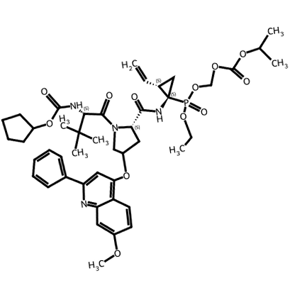 C=C[C@@H]1C[C@]1(NC(=O)[C@@H]1CC(Oc2cc(-c3ccccc3)nc3cc(OC)ccc23)CN1C(=O)[C@@H](NC(=O)OC1CCCC1)C(C)(C)C)P(=O)(OCC)OCOC(=O)OC(C)C